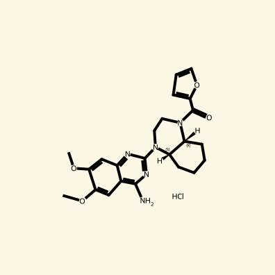 COc1cc2nc(N3CCN(C(=O)c4ccco4)[C@@H]4CCCC[C@@H]43)nc(N)c2cc1OC.Cl